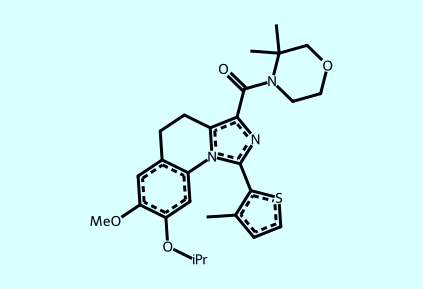 COc1cc2c(cc1OC(C)C)-n1c(-c3sccc3C)nc(C(=O)N3CCOCC3(C)C)c1CC2